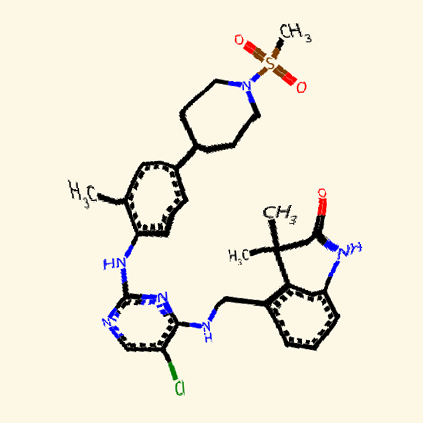 Cc1cc(C2CCN(S(C)(=O)=O)CC2)ccc1Nc1ncc(Cl)c(NCc2cccc3c2C(C)(C)C(=O)N3)n1